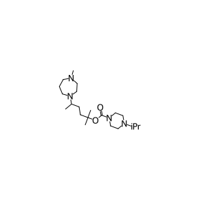 CC(C)N1CCN(C(=O)OC(C)(C)CCC(C)N2CCCN(C)CC2)CC1